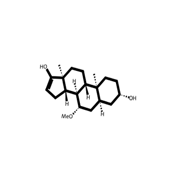 CO[C@H]1C[C@@H]2C[C@@H](O)CC[C@]2(C)[C@H]2CC[C@]3(C)C(O)=CC[C@H]3[C@H]12